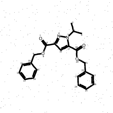 CC(C)n1nc(C(=O)OCc2ccccc2)cc1C(=O)OCc1ccccc1